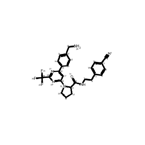 N#Cc1ccc(CCNC(=O)C2CCCN2c2cc(-c3ccc(CN)cc3)nc(C(F)(F)F)n2)cc1